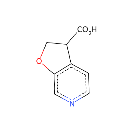 O=C(O)C1COc2cnccc21